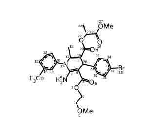 COCCOC(=O)C1=C(N)N(c2cccc(C(F)(F)F)c2)C(C)=C(C(=O)O[C@@H](C)C(=O)OC)C1c1ccc(Br)cc1